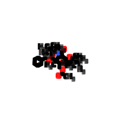 CC(=O)OCC(=O)C(C)(C(=O)OCc1ccccc1)C1C(C(C)O[Si](C)(C)C(C)(C)C)C(=O)N1[Si](C)(C)C(C)(C)C